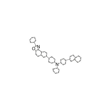 c1ccc(-c2nc3c(ccc4cc(-c5ccc(N(c6ccccc6)c6ccc(-c7ccc8ccccc8c7)cc6)cc5)ccc43)o2)cc1